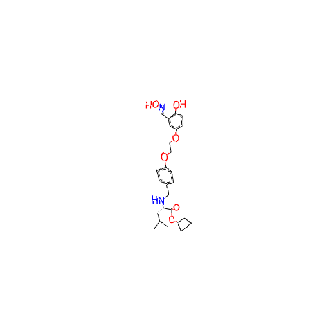 CC(C)C[C@H](NCc1ccc(OCCOc2ccc(O)c(/C=N/O)c2)cc1)C(=O)OC1CCCC1